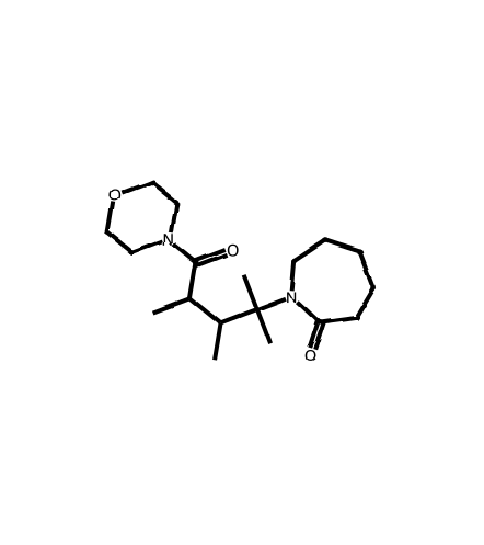 CC(C(=O)N1CCOCC1)C(C)C(C)(C)N1CCCCCC1=O